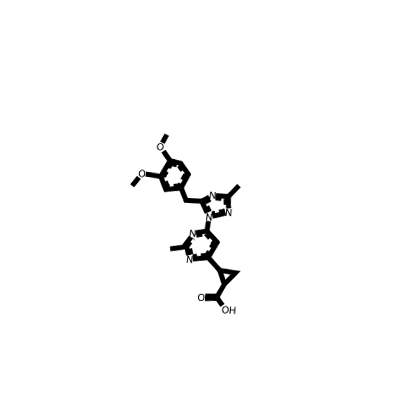 COc1ccc(Cc2nc(C)nn2-c2cc(C3CC3C(=O)O)nc(C)n2)cc1OC